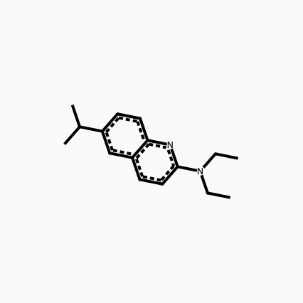 CCN(CC)c1ccc2cc(C(C)C)ccc2n1